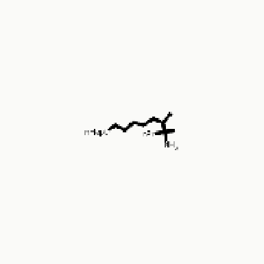 CCCCCCCCCCCCC(C)C(C)(N)CCC